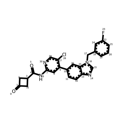 O=C1CC(C(=O)Nc2cc(-c3ccc4ncn(Cc5cccc(F)c5)c4c3)c(Cl)cn2)C1